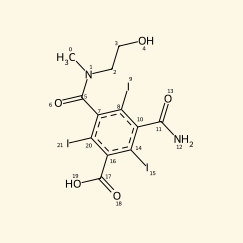 CN(CCO)C(=O)c1c(I)c(C(N)=O)c(I)c(C(=O)O)c1I